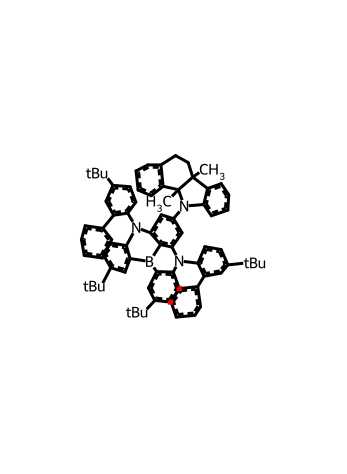 CC(C)(C)c1ccc2c(c1)B1c3cc(C(C)(C)C)ccc3N(c3ccc(C(C)(C)C)cc3-c3ccccc3)c3cc(N4c5ccccc5C5(C)CCc6ccccc6C45C)cc(c31)N2c1ccc(C(C)(C)C)cc1-c1ccccc1